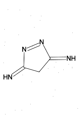 N=C1CC(=N)N=N1